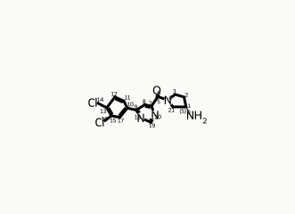 N[C@H]1CCN(C(=O)c2cc(-c3ccc(Cl)c(Cl)c3)ncn2)C1